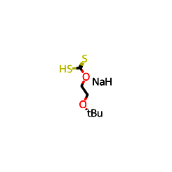 CC(C)(C)OCCOC(=S)S.[NaH]